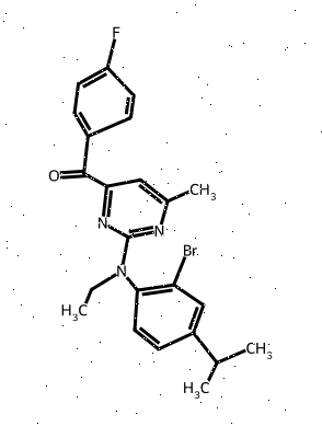 CCN(c1nc(C)cc(C(=O)c2ccc(F)cc2)n1)c1ccc(C(C)C)cc1Br